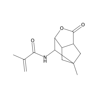 C=C(C)C(=O)NC1C2OC(=O)C3CC1(C)CC32